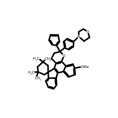 COc1ccc2c3c(c4c(c2c1)OC(c1ccccc1)(c1ccc(N2CCOCC2)cc1)CC4)C1(CC(C)(C)CC(C)(C)C1)c1ccccc1-3